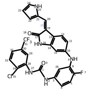 O=C(Nc1ccc(F)c(Nc2ccc3c(c2)NC(=O)/C3=C\c2ccc[nH]2)c1)Nc1cc(C(F)(F)F)ccc1Cl